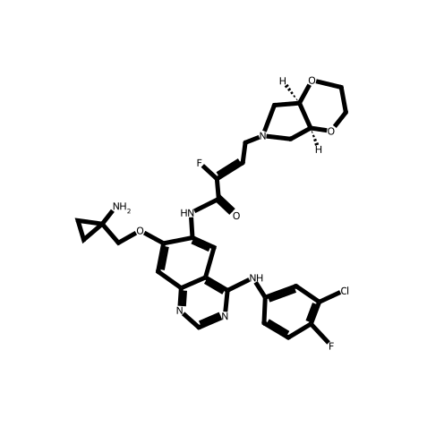 NC1(COc2cc3ncnc(Nc4ccc(F)c(Cl)c4)c3cc2NC(=O)/C(F)=C/CN2C[C@@H]3OCCO[C@@H]3C2)CC1